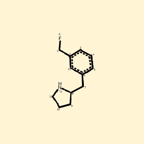 FCc1cccc(CC2CCCN2)c1